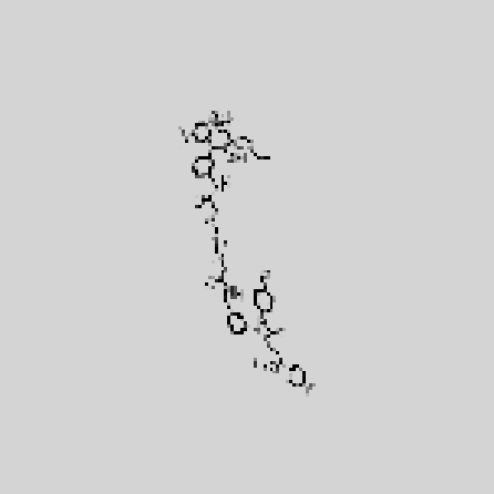 CCCCC1(CC)CS(=O)(=O)c2ccc(N(C)C)cc2C(c2cccc(NC(=O)COCCOCCOCC(=O)NCc3cccc(C4C(CCC(O)c5ccc(F)cc5)C(=O)N4c4ccc(F)cc4)c3)c2)C1O